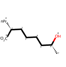 CCC[C@H](CCCC[C@@H](C)O)C(=O)O